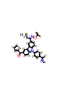 BC/C(=N/OC(=C)C)c1ccc2c(c1)c1cc(C(=O)c3cccs3)ccc1n2-c1ccc(/C(C)=N/C)cc1